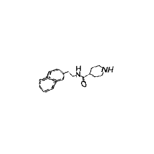 O=C(NCCc1ccc2ccccc2c1)C1CCNCC1